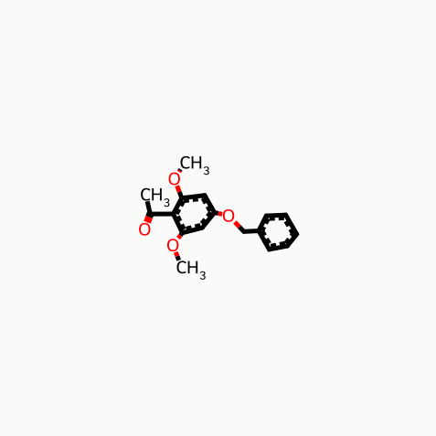 COc1cc(OCc2ccccc2)cc(OC)c1C(C)=O